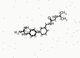 CC(C)NCC(=O)NCC1CCCN(c2ccc(NC(=N)N)cc2)C1